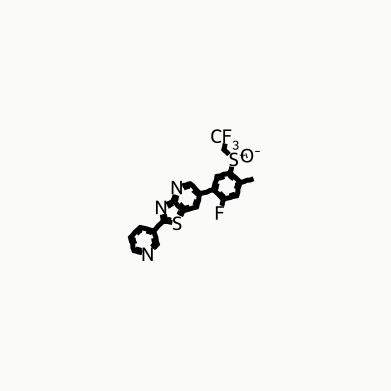 Cc1cc(F)c(-c2cnc3nc(-c4cccnc4)sc3c2)cc1[S+]([O-])CC(F)(F)F